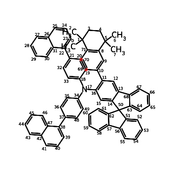 CC1(C)CCC(C)(C)c2cc(-c3cc4c(cc3N(c3ccc(-c5cccc6ccccc56)cc3)c3ccc(-c5cccc6ccccc56)cc3)C3(c5ccccc5-c5ccccc53)c3ccccc3-4)ccc21